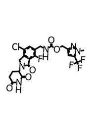 Cn1nc(COC(=O)NCc2cc(Cl)c3c(c2F)C(=O)N(C2CCC(=O)NC2=O)C3)cc1C(F)(F)F